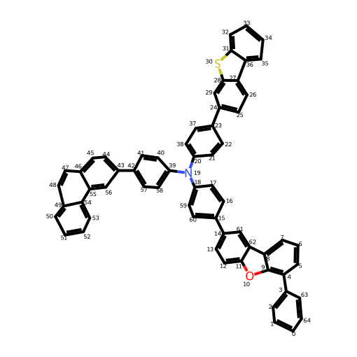 c1ccc(-c2cccc3c2oc2ccc(-c4ccc(N(c5ccc(-c6ccc7c(c6)sc6ccccc67)cc5)c5ccc(-c6ccc7ccc8ccccc8c7c6)cc5)cc4)cc23)cc1